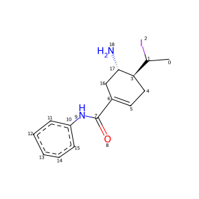 CC(I)[C@H]1CC=C(C(=O)Nc2ccccc2)C[C@@H]1N